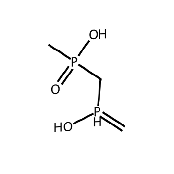 C=[PH](O)CP(C)(=O)O